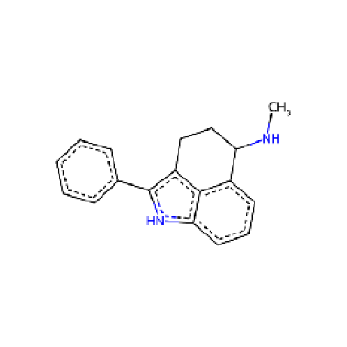 CNC1CCc2c(-c3ccccc3)[nH]c3cccc1c23